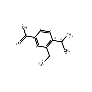 CCc1cc(C(=O)O)ccc1C(C)C